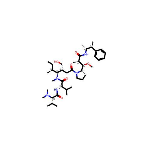 CC[C@H](C)[C@@H]([C@H](CO)CC(=O)N1CCC[C@H]1[C@H](OC)[C@@H](C)C(=O)N[C@H](C)[C@@H](C)c1ccccc1)N(C)C(=O)[C@@H](NC(=O)[C@H](C(C)C)N(C)C)C(C)C